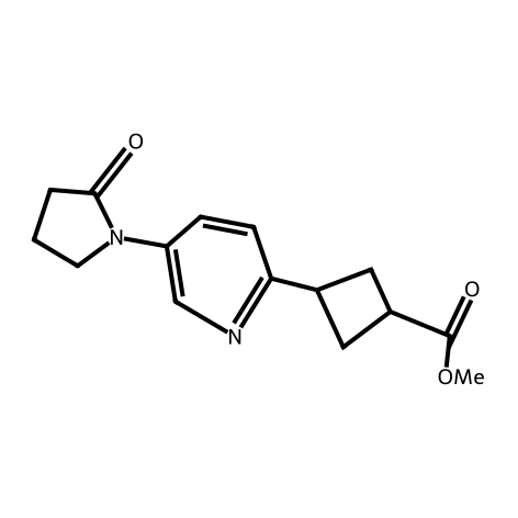 COC(=O)C1CC(c2ccc(N3CCCC3=O)cn2)C1